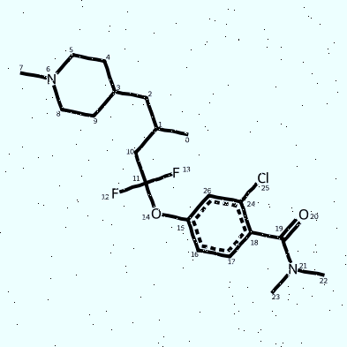 CC(CC1CCN(C)CC1)CC(F)(F)Oc1ccc(C(=O)N(C)C)c(Cl)c1